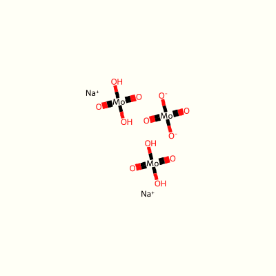 [Na+].[Na+].[O]=[Mo](=[O])([O-])[O-].[O]=[Mo](=[O])([OH])[OH].[O]=[Mo](=[O])([OH])[OH]